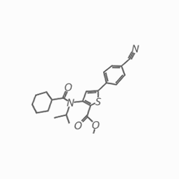 COC(=O)c1sc(-c2ccc(C#N)cc2)cc1N(C(=O)C1CCCCC1)C(C)C